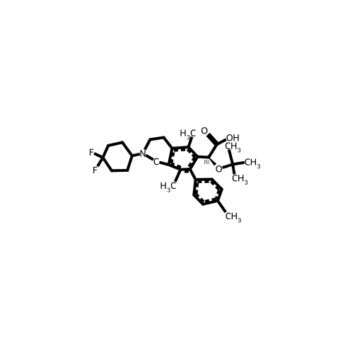 Cc1ccc(-c2c(C)c3c(c(C)c2[C@H](OC(C)(C)C)C(=O)O)CCN(C2CCC(F)(F)CC2)C3)cc1